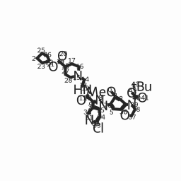 COc1cc2c(cc1-n1nc(C(=O)NCCN3CCC(C(=O)OC4CCCC4)CC3)c3cnc(Cl)cc31)OCCN2C(=O)OC(C)(C)C